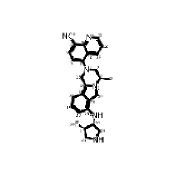 C[C@@H]1CN(c2ccc(C#N)c3ncccc23)CC2=C3CC=CC(N[C@H]4CNC[C@H]4F)=C3CN21